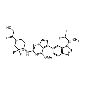 COc1nc(N[C@@H]2CCN(C(=O)CO)CC2(F)F)nn2ccc(-c3ccc4nnn([C@@H](C)C(F)F)c4c3)c12